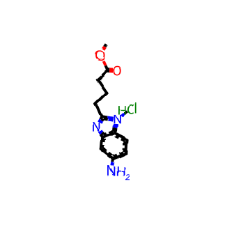 COC(=O)CCCc1nc2cc(N)ccc2n1C.Cl